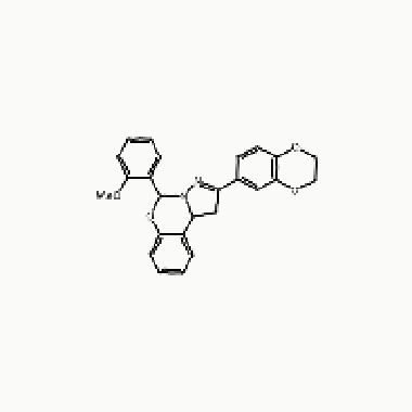 COc1ccccc1C1Oc2ccccc2C2CC(c3ccc4c(c3)OCCO4)=NN21